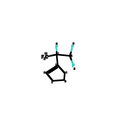 FC(F)C(F)(C1=CCCC1)C(F)(F)F